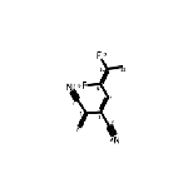 C=C(C#N)/C(C#N)=C\C(F)=C(/C)F